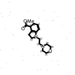 COC(=O)C1CC=CC2=C1CCN2CCN1CCOCC1